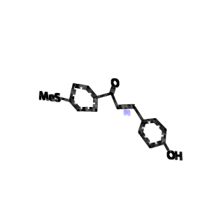 CSc1ccc(C(=O)/C=C/c2ccc(O)cc2)cc1